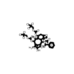 CC(=O)OC12COC1CC(OC(=O)OCC(Cl)(Cl)Cl)C1(C)C(=O)C(OC(=O)OCC(Cl)(Cl)Cl)C3=C(C)C(O)CC(O)(C(OC(=O)c4ccccc4)C21)C3(C)C